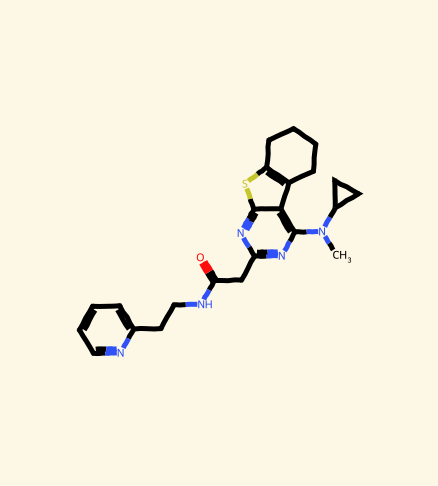 CN(c1nc(CC(=O)NCCc2ccccn2)nc2sc3c(c12)CCCC3)C1CC1